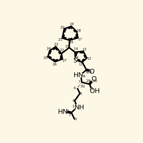 CC(=N)NCCC[C@H](NC(=O)c1ccc(C(c2ccccc2)c2ccccc2)s1)C(=O)O